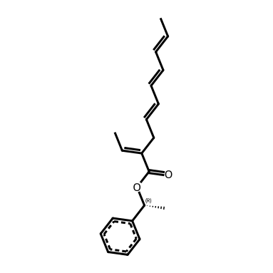 CC=CC=CC=CCC(=CC)C(=O)O[C@H](C)c1ccccc1